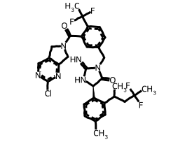 Cc1ccc([C@H]2NC(=N)N(Cc3ccc(C(C)(F)F)c(C(=O)N4Cc5cnc(Cl)nc5C4)c3)C2=O)c(C(C)CC(C)(F)F)c1